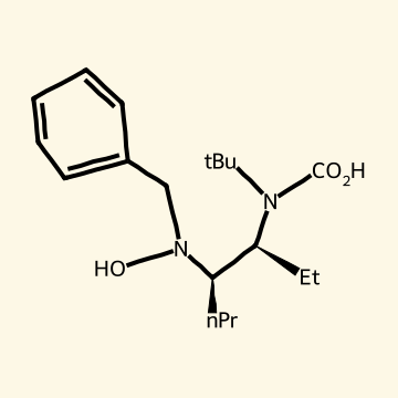 CCC[C@H]([C@H](CC)N(C(=O)O)C(C)(C)C)N(O)Cc1ccccc1